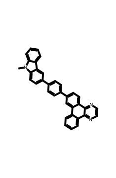 Cn1c2ccccc2c2cc(-c3ccc(-c4ccc5c(c4)c4ccccc4c4nccnc54)cc3)ccc21